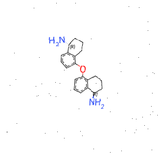 N[C@@H]1CCCc2c(Oc3cccc4c3CCC[C@H]4N)cccc21